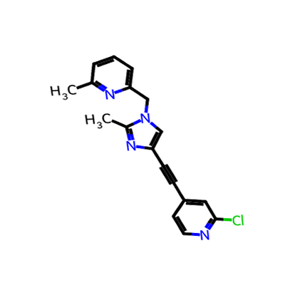 Cc1cccc(Cn2cc(C#Cc3ccnc(Cl)c3)nc2C)n1